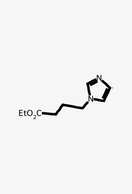 CCOC(=O)CCCn1c[c]nc1